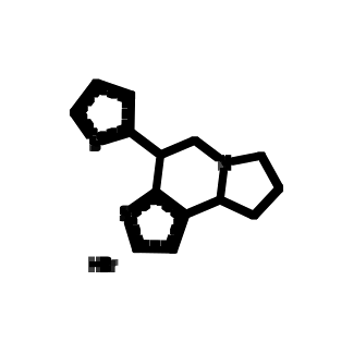 Br.c1csc(C2CN3CCCC3c3ccsc32)c1